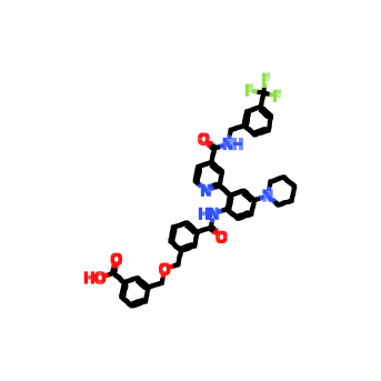 O=C(O)c1cccc(COCc2cccc(C(=O)Nc3ccc(N4CCCCC4)cc3-c3cc(C(=O)NCc4cccc(C(F)(F)F)c4)ccn3)c2)c1